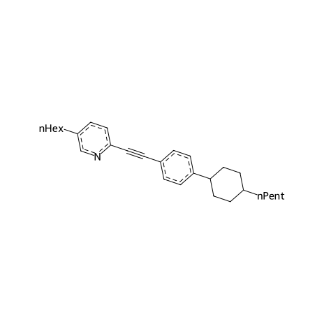 CCCCCCc1ccc(C#Cc2ccc(C3CCC(CCCCC)CC3)cc2)nc1